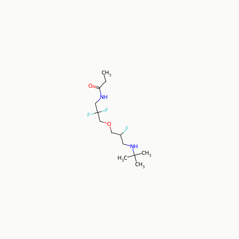 CCC(=O)NCC(F)(F)COCC(F)CNC(C)(C)C